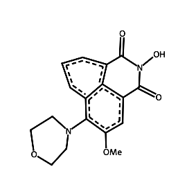 COc1cc2c3c(cccc3c1N1CCOCC1)C(=O)N(O)C2=O